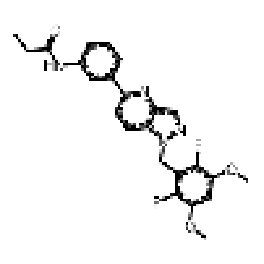 CCC(=O)Nc1cccc(-c2ccc3c(cnn3Cc3c(F)c(OC)cc(OC)c3F)n2)c1